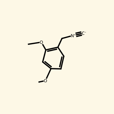 [C-]#[N+]Cc1ccc(OC)cc1OC